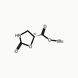 CC(C)(C)OC(=O)[C@H]1CNC(=O)O1